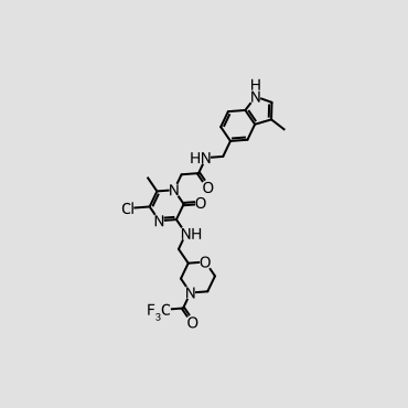 Cc1c[nH]c2ccc(CNC(=O)Cn3c(C)c(Cl)nc(NCC4CN(C(=O)C(F)(F)F)CCO4)c3=O)cc12